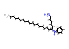 CCCCCCCCCCCCCCCCCCC(CCCCCN)Nc1ccccc1